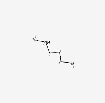 [2H]NCCCCC